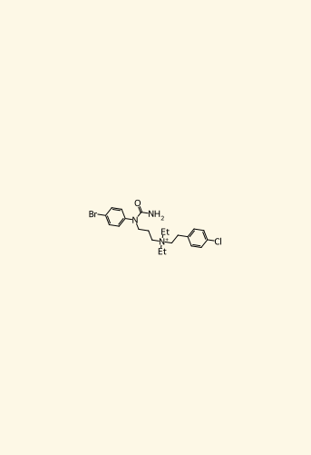 CC[N+](CC)(CCCN(C(N)=O)c1ccc(Br)cc1)CCc1ccc(Cl)cc1